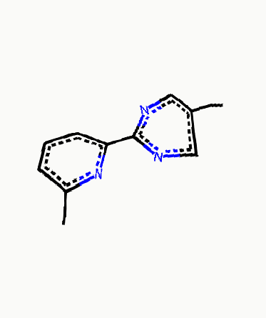 Cc1cnc(-c2cccc(C)n2)nc1